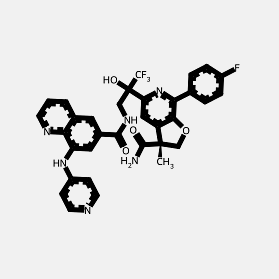 C[C@]1(C(N)=O)COc2c1cc(C(O)(CNC(=O)c1cc(Nc3ccncc3)c3ncccc3c1)C(F)(F)F)nc2-c1ccc(F)cc1